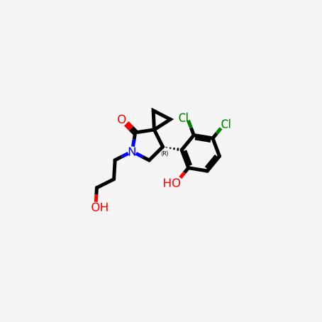 O=C1N(CCCO)C[C@@H](c2c(O)ccc(Cl)c2Cl)C12CC2